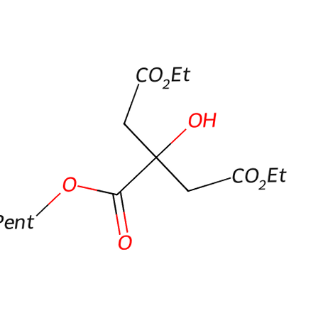 CCCCCOC(=O)C(O)(CC(=O)OCC)CC(=O)OCC